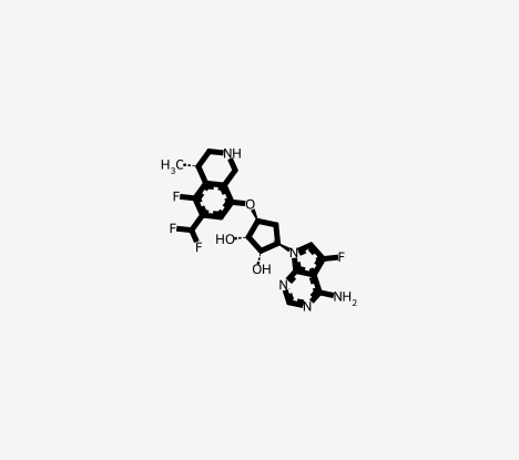 C[C@@H]1CNCc2c(O[C@H]3C[C@@H](n4cc(F)c5c(N)ncnc54)[C@H](O)[C@@H]3O)cc(C(F)F)c(F)c21